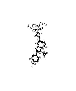 CN(C)S(=O)(=O)C1CN(c2cc3nn(-c4ccc(F)cc4)c(C4CC4)c3cn2)C1